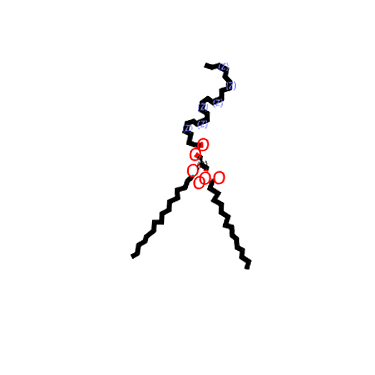 CC/C=C\C/C=C\C/C=C\C/C=C\C/C=C\C/C=C\CCC(=O)OC[C@@H](COC(=O)CCCCCCCCCCCCCCC)OC(=O)CCCCCCCCCCCCCCC